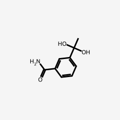 CC(O)(O)c1cccc(C(N)=O)c1